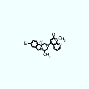 C[C@@H]1CN(c2cc(=O)n(C)c3ncccc23)C[C@@H]2c3ccc(Br)cc3CN12